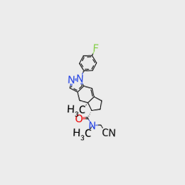 CN(CC#N)C(=O)[C@H]1CCC2=Cc3c(cnn3-c3ccc(F)cc3)C[C@@]21C